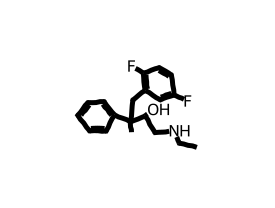 CCNCC(O)C(C)(Cc1cc(F)ccc1F)c1ccccc1